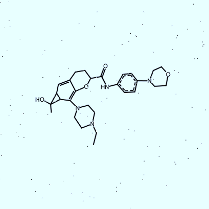 CCN1CCN(C2=C3OC(C(=O)Nc4ccc(N5CCOCC5)cc4)CCC3=CC3C2C3(C)O)CC1